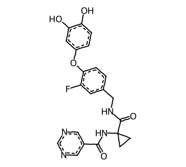 O=C(NC1(C(=O)NCc2ccc(Oc3ccc(O)c(O)c3)c(F)c2)CC1)c1cncnc1